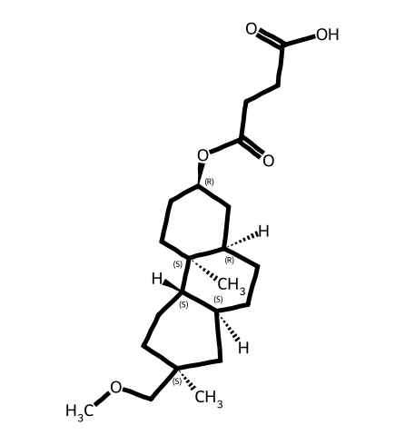 COC[C@@]1(C)CC[C@H]2[C@@H](CC[C@@H]3C[C@H](OC(=O)CCC(=O)O)CC[C@@]32C)C1